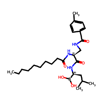 CCCCCCCCCC(=O)N[C@@H](CNC(=O)c1ccc(C)cc1)C(=O)N[C@@H](CC(C)C)B(O)O